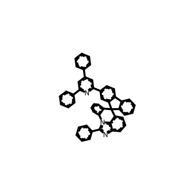 c1ccc(-c2cc(-c3ccccc3)nc(-c3ccc4c(c3)C3(c5ccccc5-4)c4ccccc4-n4c(-c5ccccc5)nc5cccc3c54)c2)cc1